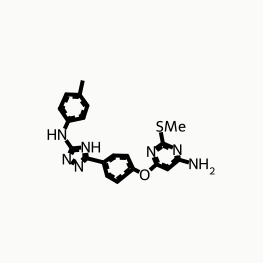 CSc1nc(N)cc(Oc2ccc(-c3nnc(Nc4ccc(C)cc4)[nH]3)cc2)n1